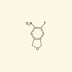 O=[N+]([O-])c1cc2c(cc1F)COC2